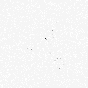 CCCCCC(=O)OC[C@](C=Cc1cccn1C)(CC)NC(=O)OC(C)(C)C